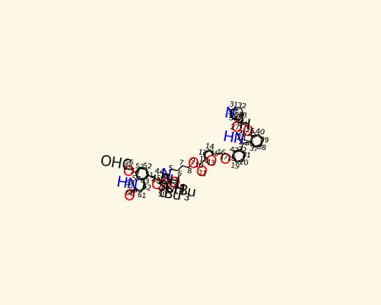 CC(C)(C)OC(=O)N(CCCCOC(=O)c1ccc(COc2cccc(C(NC(=O)O[C@H]3CN4CCC3CC4)c3ccccc3)c2)o1)C[C@H](O[Si](C)(C)C(C)(C)C)c1ccc(OC=O)c2[nH]c(=O)ccc12